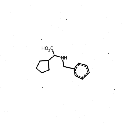 O=C(O)[C@@H](NCc1ccccc1)C1CCCC1